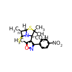 Cc1onc(-c2ccc([N+](=O)[O-])cc2)c1[C@@]1(C(=O)O)N2C(=S)[C@@H](C)[C@H]2SC1(C)C